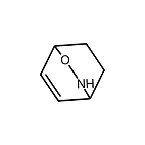 C1=CC2CCC1NO2